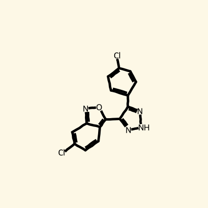 Clc1ccc(-c2n[nH]nc2-c2onc3cc(Cl)ccc23)cc1